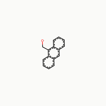 [O]Cc1c2ccccc2cc2ccccc12